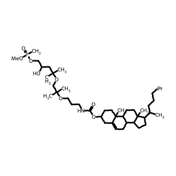 COP(C)(=O)OCC(O)CC(C)(C)OCC(C)(C)OCCCNC(=O)OC1CCC2(C)C(=CCC3C2CCC2(C)C(C(C)CCCC(C)C)CCC32)C1